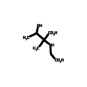 CC(O)C(C)(NCC(=O)O)C(=O)O